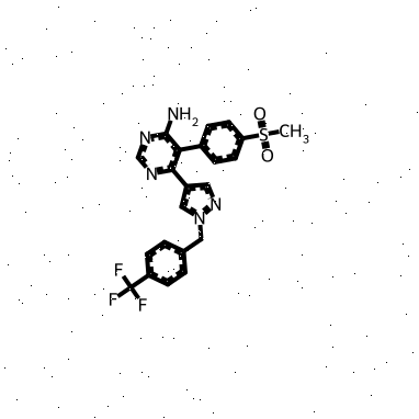 CS(=O)(=O)c1ccc(-c2c(N)ncnc2-c2cnn(Cc3ccc(C(F)(F)F)cc3)c2)cc1